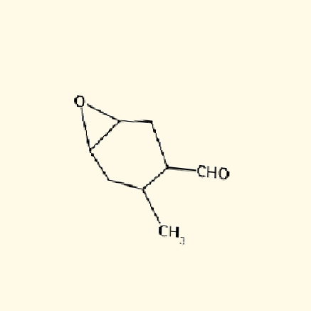 CC1CC2OC2CC1C=O